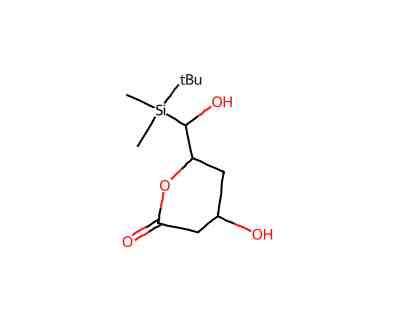 CC(C)(C)[Si](C)(C)C(O)C1CC(O)CC(=O)O1